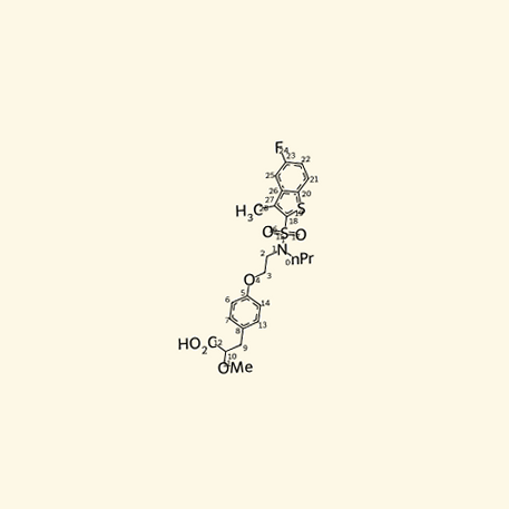 CCCN(CCOc1ccc(CC(OC)C(=O)O)cc1)S(=O)(=O)c1sc2ccc(F)cc2c1C